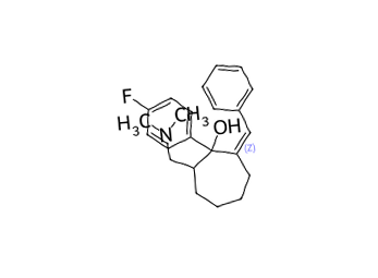 CN(C)CC1CCCC/C(=C/c2ccccc2)C1(O)c1ccc(F)cc1